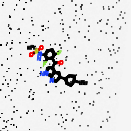 CCCS(=O)(=O)Nc1ccc(F)c(C(=O)c2c[nH]c3ncc(-c4ccc(C(C)(C)C)cc4)cc23)c1F